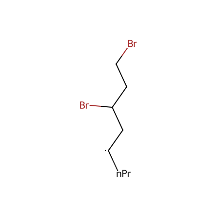 CCC[CH]CC(Br)CCBr